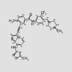 Cc1cc(Nc2cccn3c(C#Cc4cc(C(=O)Nc5ccc(CN6CCN(C)CC6)c(C(F)(F)F)c5)ccc4C)cnc23)no1